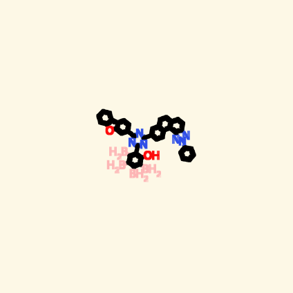 Bc1c(B)c(B)c(-c2nc(-c3ccc4c(ccc5ccc6nn(-c7ccccc7)nc6c54)c3)nc(-c3ccc4c(c3)oc3ccccc34)n2)c(O)c1B